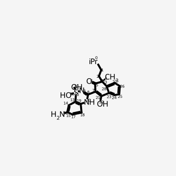 CC(C)CC[C@@]1(C)C(=O)C(C2=NS(O)(O)c3cc(N)ccc3N2)=C(O)c2ccccc21